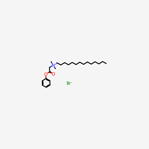 CCCCCCCCCCCCCC[N+](C)(C)CC(=O)Oc1ccccc1.[Br-]